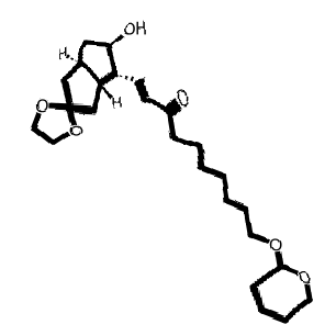 O=C(C=C[C@@H]1[C@@H]2CC3(C[C@H]2C[C@H]1O)OCCO3)CCCCCCCOC1CCCCO1